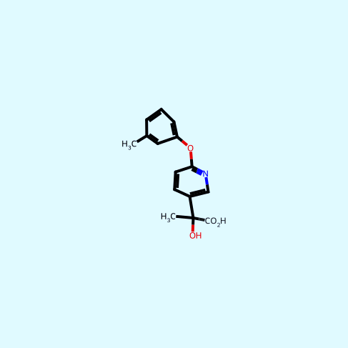 Cc1cccc(Oc2ccc(C(C)(O)C(=O)O)cn2)c1